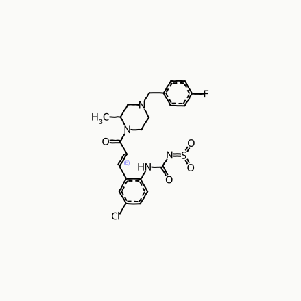 CC1CN(Cc2ccc(F)cc2)CCN1C(=O)/C=C/c1cc(Cl)ccc1NC(=O)N=S(=O)=O